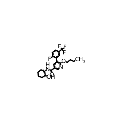 CCCCOc1ncc(C(=O)N[C@@H]2CCCC[C@H]2O)cc1-c1cc(C(F)(F)F)ccc1F